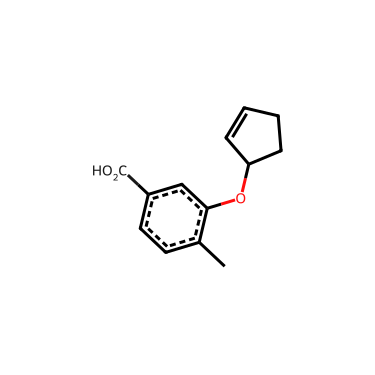 Cc1ccc(C(=O)O)cc1OC1C=CCC1